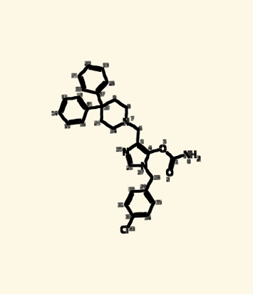 NC(=O)Oc1c(CN2CCC(c3ccccc3)(c3ccccc3)CC2)ncn1Cc1ccc(Cl)cc1